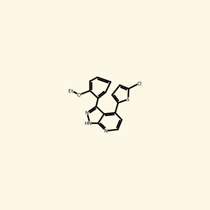 CCOc1ccccc1-c1n[nH]c2nccc(-c3ccc(Cl)s3)c12